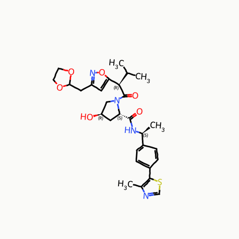 Cc1ncsc1-c1ccc([C@H](C)NC(=O)[C@@H]2C[C@@H](O)CN2C(=O)[C@@H](c2cc(CC3OCCO3)no2)C(C)C)cc1